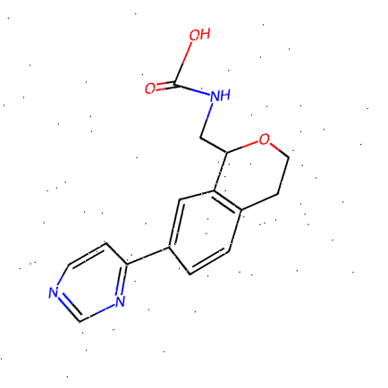 O=C(O)NCC1OCCc2ccc(-c3ccncn3)cc21